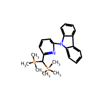 CS(C)(C)C(c1cccc(-n2c3ccccc3c3ccccc32)n1)S(C)(C)C